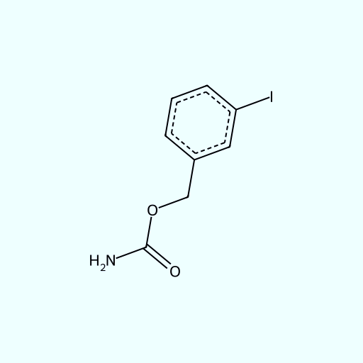 NC(=O)OCc1cccc(I)c1